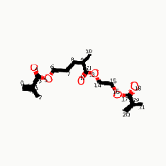 C=C(C)C(=O)OCCCC(C)C(=O)OCCOC(=O)C(=C)C